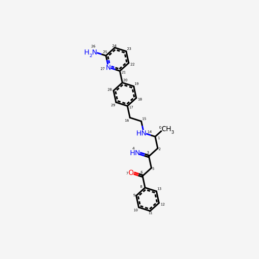 CC(CC(=N)CC(=O)c1ccccc1)NCCc1ccc(-c2cccc(N)n2)cc1